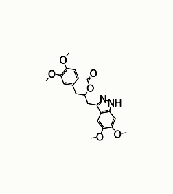 COc1ccc(CC(Cc2n[nH]c3cc(OC)c(OC)cc23)OC=O)cc1OC